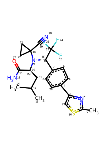 Cc1nc(-c2ccc([C@H](N([C@@H](CC(C)C)C(N)=O)C3(C#N)CC3)C(F)(F)F)cc2)cs1